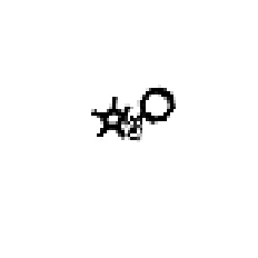 CC1=C(C)[C](C)([Ru]([Cl])[C]2=CCCC=CCC2)C(C)=C1C